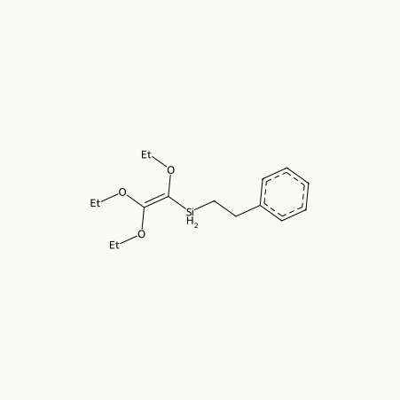 CCOC(OCC)=C(OCC)[SiH2]CCc1ccccc1